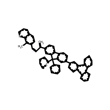 C=C(/C=C\c1ccc2cccnc2c1C)c1ccc2c(c1)C(c1ccccc1)(c1ccccc1)c1cc(-c3ccc4c5ccccc5c5ccccc5c4c3)ccc1-2